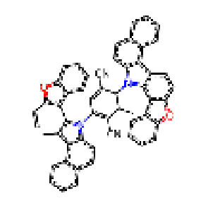 C=Cc1oc2ccccc2c1-c1c(C)c2c3ccccc3ccc2n1C1=C(C#N)C(C)C(n2c3ccc4ccccc4c3c3ccc4oc5ccccc5c4c32)C(C#N)=C1